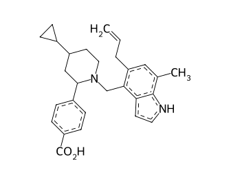 C=CCc1cc(C)c2[nH]ccc2c1CN1CCC(C2CC2)CC1c1ccc(C(=O)O)cc1